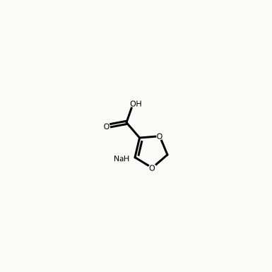 O=C(O)C1=COCO1.[NaH]